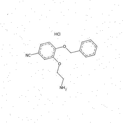 Cl.N#Cc1ccc(OCc2ccccc2)c(OCCN)c1